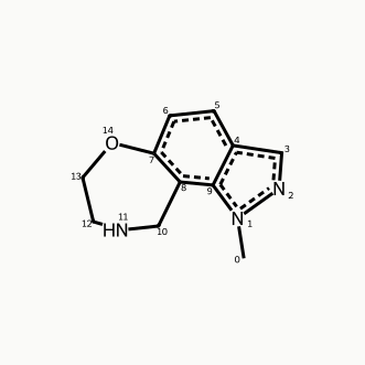 Cn1ncc2ccc3c(c21)CNCCO3